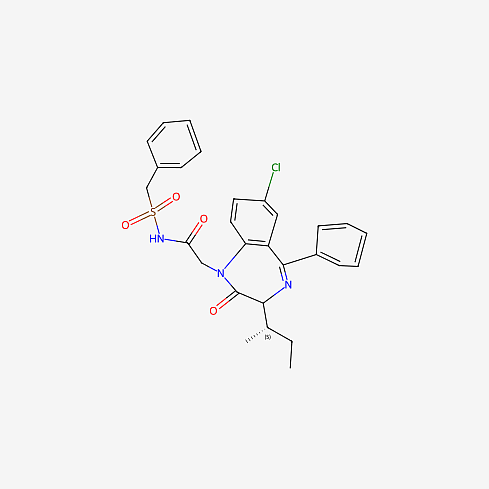 CC[C@H](C)C1N=C(c2ccccc2)c2cc(Cl)ccc2N(CC(=O)NS(=O)(=O)Cc2ccccc2)C1=O